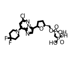 O=P(O)(O)CP(=O)(O)OC[C@@H]1CCC(c2cnc3c(N4CCC(F)(F)CC4)cc(Cl)nn23)O1